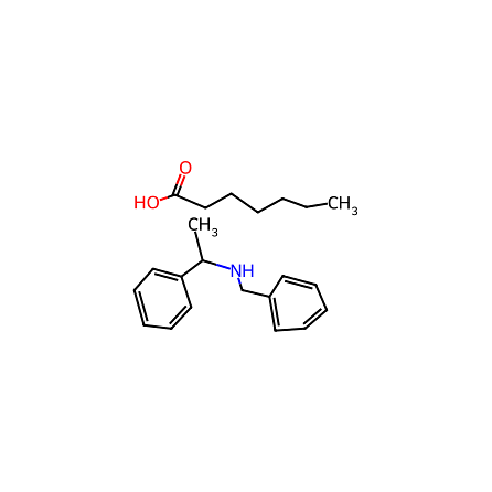 CC(NCc1ccccc1)c1ccccc1.CCCCCCC(=O)O